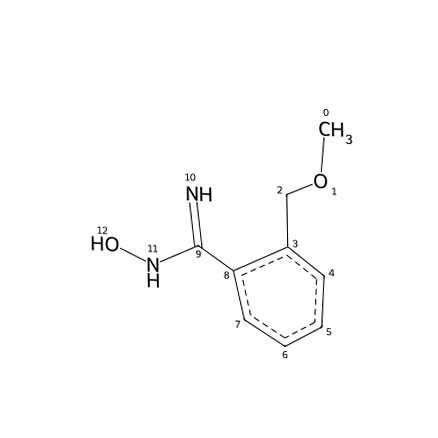 COCc1ccccc1C(=N)NO